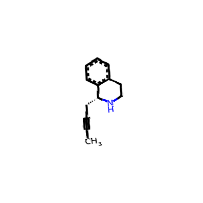 CC#CC[C@H]1NCCc2ccccc21